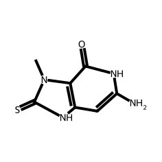 Cn1c(=S)[nH]c2cc(N)[nH]c(=O)c21